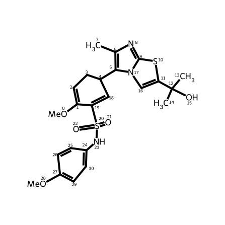 COC1=CCC(c2c(C)nc3sc(C(C)(C)O)cn23)C=C1S(=O)(=O)Nc1ccc(OC)cc1